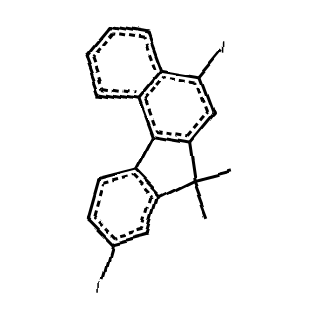 CC1(C)c2cc(I)ccc2-c2c1cc(I)c1ccccc21